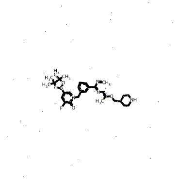 C=N/C(=N\C=C(/C)OCC1CCNCC1)c1cccc(Cn2cc(B3OC(C)(C)C(C)(C)O3)cc(F)c2=O)c1